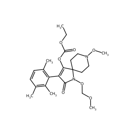 CCOC(=O)OC1=C(c2c(C)ccc(C)c2C)C(=O)N(OCOC)C12CCN(OC)CC2